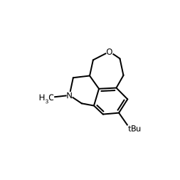 CN1Cc2cc(C(C)(C)C)cc3c2C(COCC3)C1